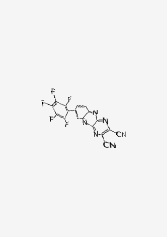 N#Cc1nc2nc3ccc(-c4c(F)c(F)c(F)c(F)c4F)cc3nc2nc1C#N